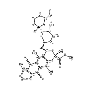 CO[C@@H]1C[N+]([O-])([C@H]2C[C@H](O[C@H]3C[C@](O)(C(=O)CO)Cc4c(O)c5c(c(O)c43)C(=O)c3c(F)cccc3C5=O)O[C@@H](C)[C@H]2O)CCO1